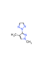 Cc1cn(C)nc1-n1nccn1